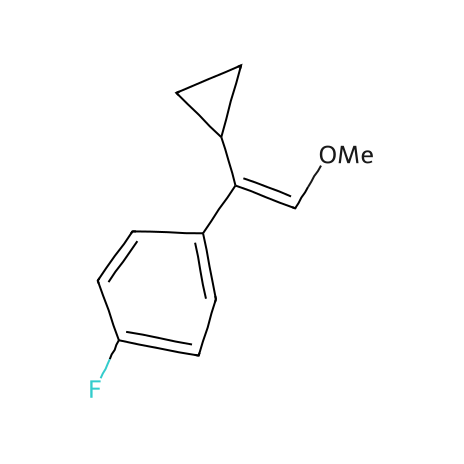 COC=C(c1ccc(F)cc1)C1CC1